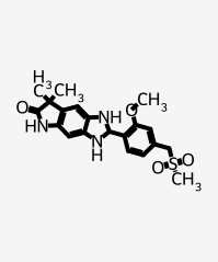 COc1cc(CS(C)(=O)=O)ccc1C1Nc2cc3c(cc2N1)C(C)(C)C(=O)N3